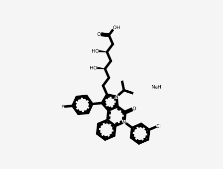 CC(C)n1c(CC[C@@H](O)C[C@@H](O)CC(=O)O)c(-c2ccc(F)cc2)c2c3ccccc3n(-c3cccc(Cl)c3)c(=O)c21.[NaH]